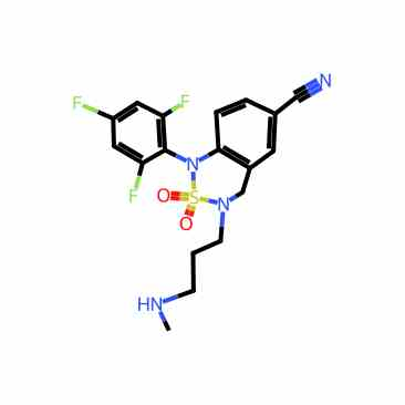 CNCCCN1Cc2cc(C#N)ccc2N(c2c(F)cc(F)cc2F)S1(=O)=O